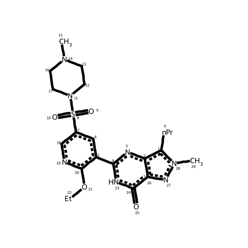 CCCc1c2nc(-c3cc(S(=O)(=O)N4CCN(C)CC4)cnc3OCC)[nH]c(=O)c2nn1C